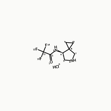 Cl.O=C(N[C@@H]1CNCC12CC2)C(F)(F)F